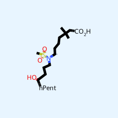 CCCCCC(O)CCCN([CH]CCCC(C)(C)CC(=O)O)S(C)(=O)=O